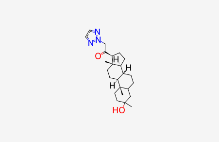 CC1(O)CC[C@@]2(C)C(CC[C@H]3[C@@H]4CC[C@H](C(=O)Cn5nccn5)[C@@]4(C)CC[C@@H]32)C1